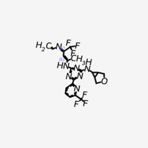 C=C/N=C(\C=C(/C)Nc1nc(NC2C3COCC32)nc(-c2cccc(C(F)(F)F)n2)n1)C(F)(F)F